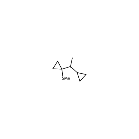 CSC1([C](C)C2CC2)CC1